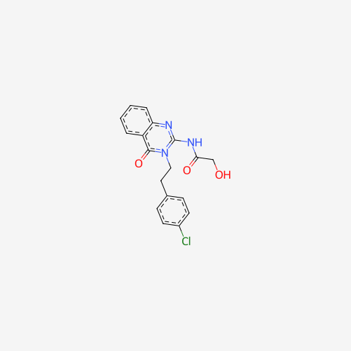 O=C(CO)Nc1nc2ccccc2c(=O)n1CCc1ccc(Cl)cc1